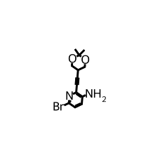 CC1(C)OCC(C#Cc2nc(Br)ccc2N)CO1